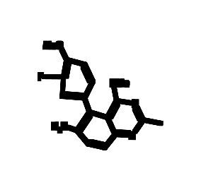 CNc1nc(C)nc2ccc(N)c(-c3ccc(OC)c(F)c3)c12